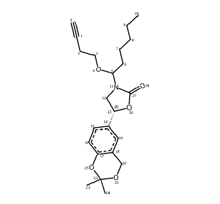 C#CCCOC(CCCCC)N1C[C@@H](c2ccc3c(c2)COC(C)(C)O3)OC1=O